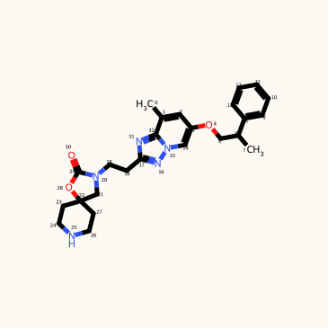 Cc1cc(OCC(C)c2ccccc2)cn2nc(CCN3CC4(CCNCC4)OC3=O)nc12